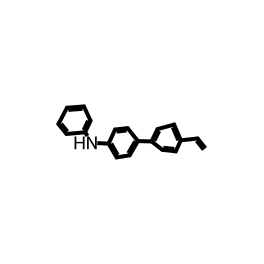 C=Cc1ccc(-c2ccc(Nc3ccccc3)cc2)cc1